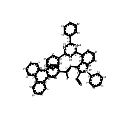 C=Cc1c(/C=C(\C)c2ccc3c4ccccc4c4ccccc4c3c2)c2c(-c3nc(-c4ccccc4)nc(-c4ccccc4)n3)cccc2n1-c1ccccc1